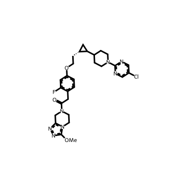 COc1nnc2n1CCN(C(=O)Cc1ccc(OCC[C@@H]3CC3C3CCN(c4ncc(Cl)cn4)CC3)cc1F)C2